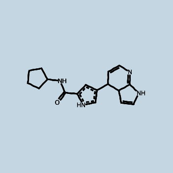 O=C(NC1CCCC1)c1cc(C2C=CN=C3NC=CC32)c[nH]1